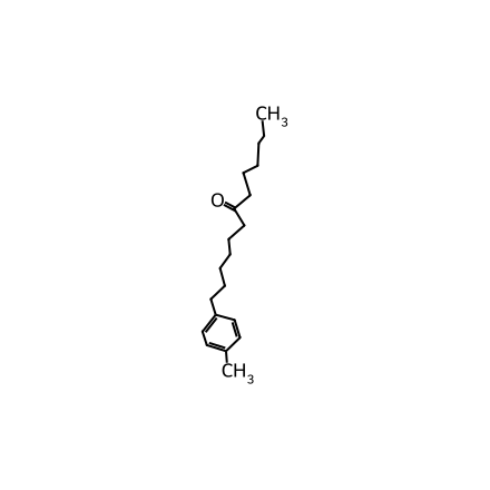 CCCCCCC(=O)CCCCCCc1ccc(C)cc1